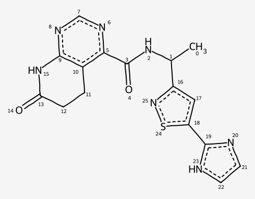 CC(NC(=O)c1ncnc2c1CCC(=O)N2)c1cc(-c2ncc[nH]2)sn1